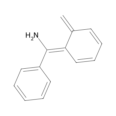 C=c1cccc/c1=C(/N)c1ccccc1